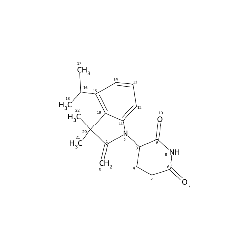 C=C1N(C2CCC(=O)NC2=O)c2cccc(C(C)C)c2C1(C)C